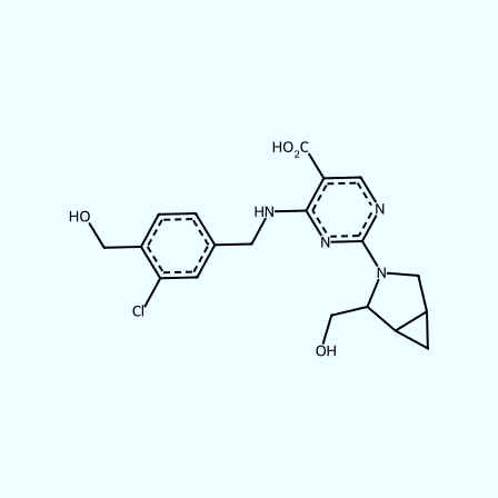 O=C(O)c1cnc(N2CC3CC3C2CO)nc1NCc1ccc(CO)c(Cl)c1